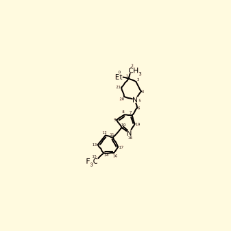 CCC1(C)CCN(Cc2ccc(-c3ccc(C(F)(F)F)cc3)nc2)CC1